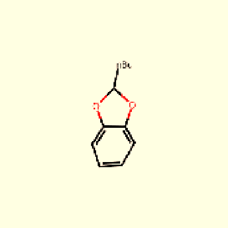 CCCCC1Oc2ccccc2O1